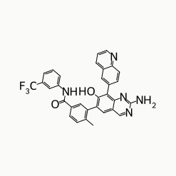 Cc1ccc(C(=O)Nc2cccc(C(F)(F)F)c2)cc1-c1cc2cnc(N)nc2c(-c2ccc3ncccc3c2)c1O